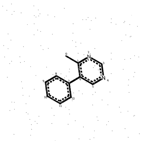 Cc1ncncc1-c1ccccc1